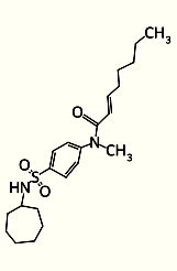 CCCCC/C=C/C(=O)N(C)c1ccc(S(=O)(=O)NC2CCCCCC2)cc1